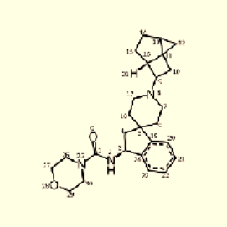 O=C(N[C@H]1CC2(CCN(C3CC45CC4CC[C@@H]35)CC2)c2ccccc21)N1CCOCC1